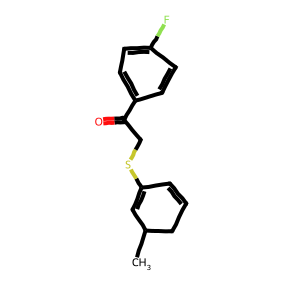 CC1C=C(SCC(=O)c2ccc(F)cc2)C=CC1